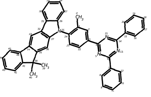 Cc1cc(-c2nc(-c3ccccc3)nc(-c3ccccc3)n2)ccc1-n1c2ccccc2c2cc3c(cc21)C(C)(C)c1ccccc1-3